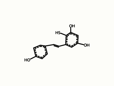 Oc1ccc(C=Cc2cc(O)cc(O)c2S)cc1